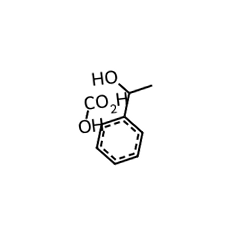 CC(O)c1ccccc1.O=C(O)O